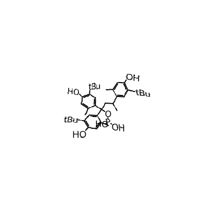 Cc1cc(O)c(C(C)(C)C)cc1C(C)CC(OP(O)O)(c1cc(C(C)(C)C)c(O)cc1C)c1cc(C(C)(C)C)c(O)cc1C